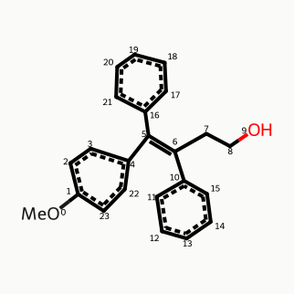 COc1ccc(C(=C(CCO)c2ccccc2)c2ccccc2)cc1